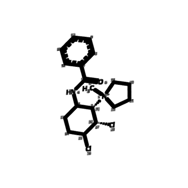 C[N+]1([C@H]2C(NC(=O)c3ccccc3)CCC(Cl)[C@H]2Cl)CCCC1